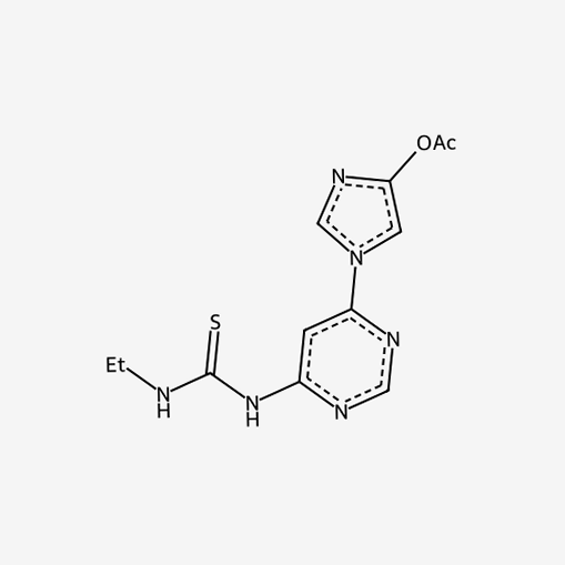 CCNC(=S)Nc1cc(-n2cnc(OC(C)=O)c2)ncn1